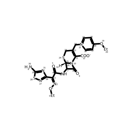 CCON=C(C(=O)NC1C(=O)N2C(C(=O)[O-])=C(C[n+]3ccc(OCC)cc3)CS[C@@H]12)c1nsc(N)n1